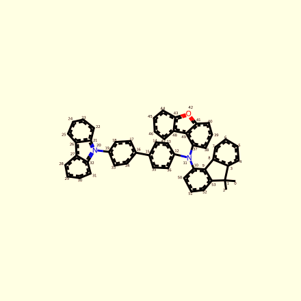 CC1(C)c2ccccc2-c2c(N(c3ccc(-c4ccc(-n5c6ccccc6c6ccccc65)cc4)cc3)c3cccc4oc5ccccc5c34)cccc21